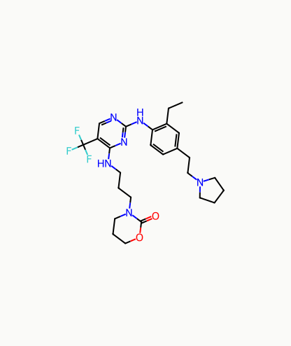 CCc1cc(CCN2CCCC2)ccc1Nc1ncc(C(F)(F)F)c(NCCCN2CCCOC2=O)n1